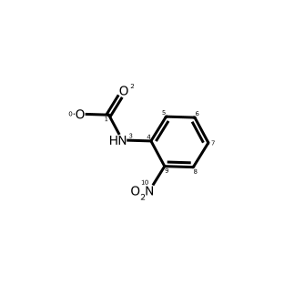 [O]C(=O)Nc1ccccc1[N+](=O)[O-]